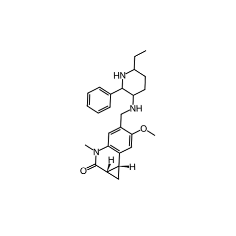 CCC1CCC(NCc2cc3c(cc2OC)[C@@H]2C[C@@H]2C(=O)N3C)C(c2ccccc2)N1